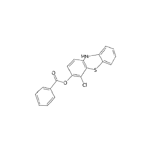 O=C(Oc1ccc2c(c1Cl)Sc1ccccc1N2)c1ccccc1